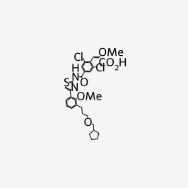 COC(=Cc1c(Cl)cc(C(=O)Nc2nc(-c3cccc(CCCOCC4CCCC4)c3OC)cs2)cc1Cl)C(=O)O